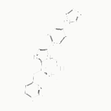 CCn1c(-c2ccc(-n3ccnc3)cc2)cnc1[C@@H](N)Cc1ccccn1